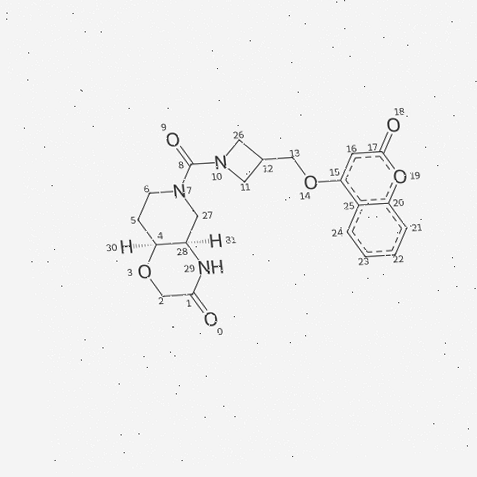 O=C1CO[C@H]2CCN(C(=O)N3CC(COc4cc(=O)oc5ccccc45)C3)C[C@H]2N1